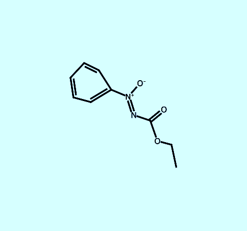 CCOC(=O)/N=[N+](\[O-])c1ccccc1